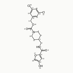 O=C(NCC1CCN(C(=O)OCc2cc(Cl)cc(Cl)c2)CC1)c1cc(O)no1